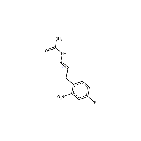 NC(=O)N/N=C/Cc1ccc(F)cc1[N+](=O)[O-]